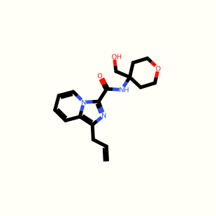 C=CCc1nc(C(=O)NC2(CO)CCOCC2)n2ccccc12